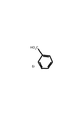 O=C(O)c1ccccc1.[Er]